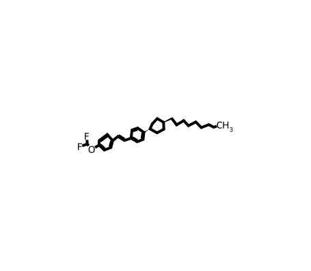 CCCCCCCCC[C@H]1CC[C@H](c2ccc(C=Cc3ccc(OC(F)F)cc3)cc2)CC1